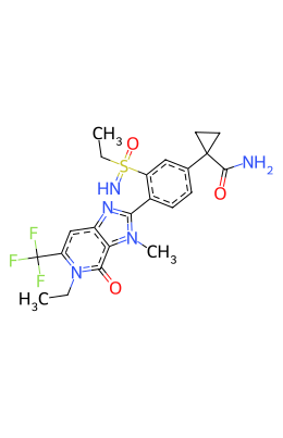 CCn1c(C(F)(F)F)cc2nc(-c3ccc(C4(C(N)=O)CC4)cc3S(=N)(=O)CC)n(C)c2c1=O